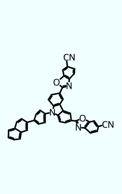 N#Cc1ccc2nc(-c3ccc4c(c3)c3cc(-c5nc6ccc(C#N)cc6o5)ccc3n4-c3ccc(-c4ccc5ccccc5c4)cc3)oc2c1